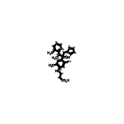 Cc1cc([C@@](O)(Cn2cncn2)[C@@H](C)c2ncncc2C)c(F)cc1NCCC(=O)O